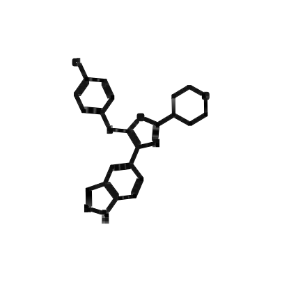 Clc1ccc(Sc2oc(C3CCOCC3)nc2-c2ccc3[nH]ncc3c2)cc1